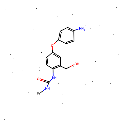 CC(C)NC(=O)Nc1ccc(Oc2ccc(N)cc2)cc1CO